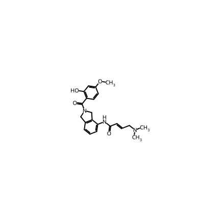 COc1ccc(C(=O)N2Cc3cccc(NC(=O)/C=C/CN(C)C)c3C2)c(O)c1